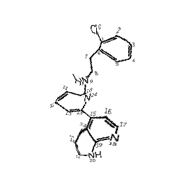 Clc1ccccc1CCNc1cccc(-c2ccnc3[nH]ccc23)n1